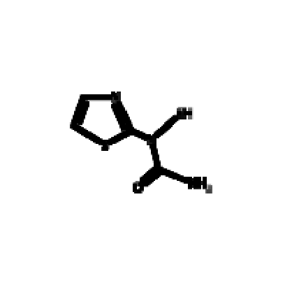 NC(=O)N(S)c1nccs1